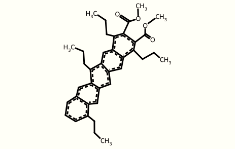 CCCc1cccc2cc3c(CCC)c4cc5c(CCC)c(C(=O)OC)c(C(=O)OC)c(CCC)c5cc4cc3cc12